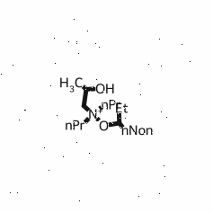 CCCCCCCCCC(CC)O[N+](CCC)(CCC)CC(C)O